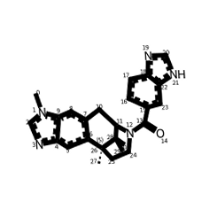 Cn1cnc2cc3c(cc21)CC1N(C(=O)c2ccc4nc[nH]c4c2)CC[C@]3(C)C1(C)C